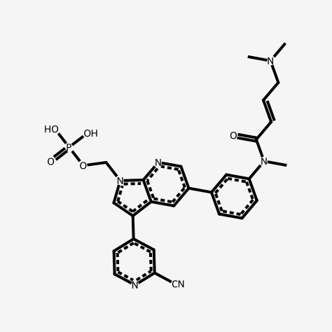 CN(C)C/C=C/C(=O)N(C)c1cccc(-c2cnc3c(c2)c(-c2ccnc(C#N)c2)cn3COP(=O)(O)O)c1